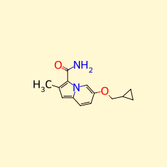 Cc1cc2ccc(OCC3CC3)cn2c1C(N)=O